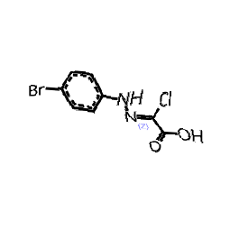 O=C(O)/C(Cl)=N/Nc1ccc(Br)cc1